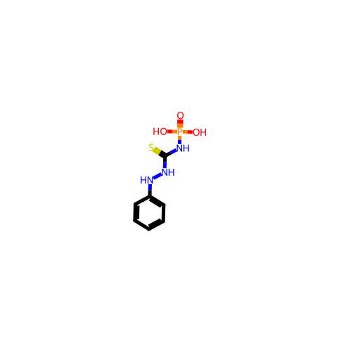 O=P(O)(O)NC(=S)NNc1ccccc1